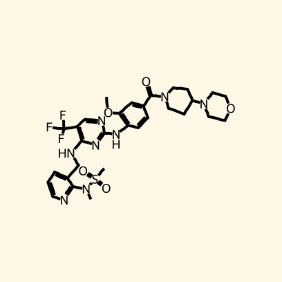 COc1cc(C(=O)N2CCC(N3CCOCC3)CC2)ccc1Nc1ncc(C(F)(F)F)c(NCc2cccnc2N(C)S(C)(=O)=O)n1